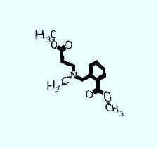 COC(=O)CCN(C)Cc1ccccc1C(=O)OC